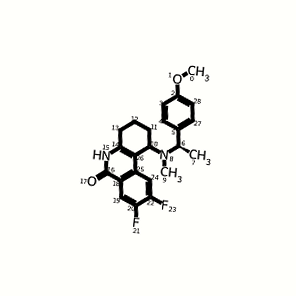 COc1ccc([C@@H](C)N(C)C2CCCc3[nH]c(=O)c4cc(F)c(F)cc4c32)cc1